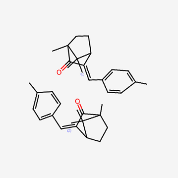 Cc1ccc(/C=C2/C(=O)C3(C)CCC2C3(C)C)cc1.Cc1ccc(/C=C2\C(=O)C3(C)CCC2C3(C)C)cc1